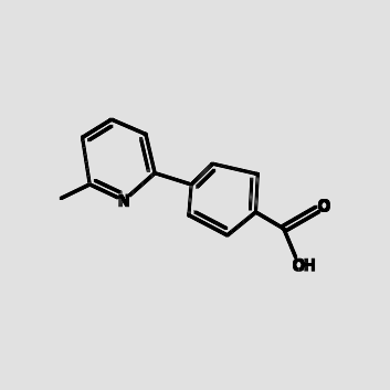 Cc1cccc(-c2ccc(C(=O)O)cc2)n1